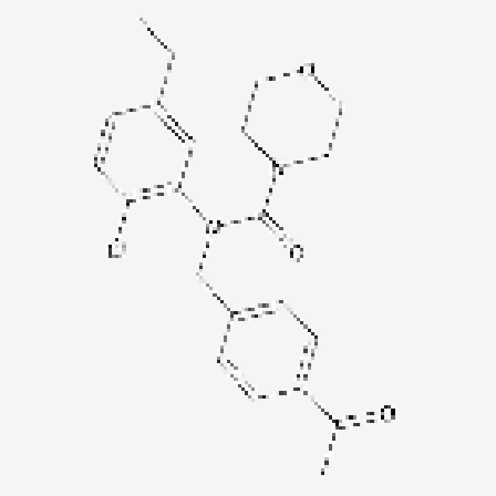 CCc1ccc(Cl)c(N(Cc2ccc(C(C)=O)cc2)C(=O)N2CCOCC2)c1